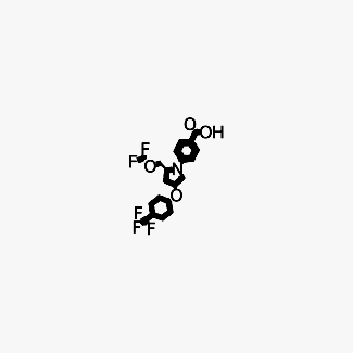 O=C(O)c1ccc(N2C[C@@H](OC3CCC(C(F)(F)F)CC3)C[C@H]2COC(F)F)cc1